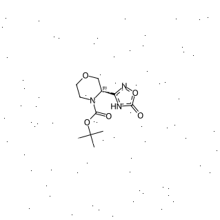 CC(C)(C)OC(=O)N1CCOC[C@H]1c1noc(=O)[nH]1